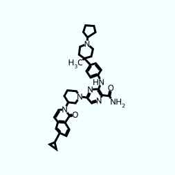 CC1(c2ccc(Nc3nc(N4CCCC(n5ccc6cc(C7CC7)ccc6c5=O)C4)cnc3C(N)=O)cc2)CCN(C2CCCC2)CC1